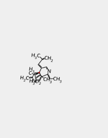 C=C(C)\C=C(/C=N\C(=C/C)C(\C=C/C(=C)N)=C\C)C1=C(C)C=C1C